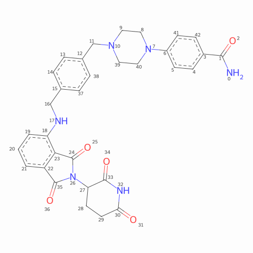 NC(=O)c1ccc(N2CCN(Cc3ccc(CNc4cccc5c4C(=O)N(C4CCC(=O)NC4=O)C5=O)cc3)CC2)cc1